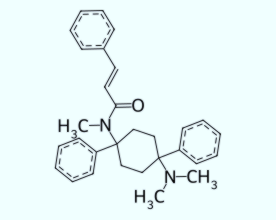 CN(C)C1(c2ccccc2)CCC(c2ccccc2)(N(C)C(=O)/C=C/c2ccccc2)CC1